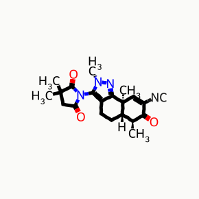 [C-]#[N+]C1=C[C@]2(C)c3nn(C)c(N4C(=O)CC(C)(C)C4=O)c3CC[C@H]2[C@H](C)C1=O